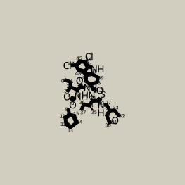 CCC(C)C(NC(=O)OCc1ccccc1)C(=O)N[C@]1(C(=O)N[C@H](C(=S)NCC2CCOCC2)[C@@H](C)CC)CCc2[nH]c3c(Cl)cc(Cl)cc3c2C1